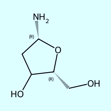 N[C@H]1CC(O)[C@@H](CO)O1